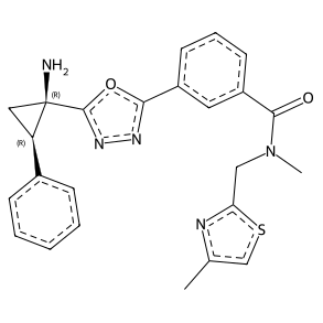 Cc1csc(CN(C)C(=O)c2cccc(-c3nnc([C@@]4(N)C[C@@H]4c4ccccc4)o3)c2)n1